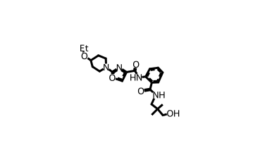 CCOC1CCN(c2nc(C(=O)Nc3ccccc3C(=O)NCC(C)(C)CO)co2)CC1